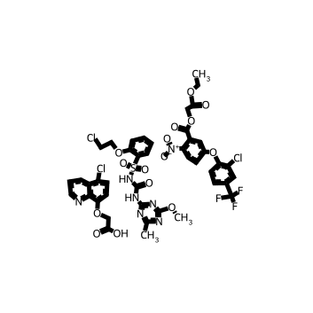 CCOC(=O)COC(=O)c1cc(Oc2ccc(C(F)(F)F)cc2Cl)ccc1[N+](=O)[O-].COc1nc(C)nc(NC(=O)NS(=O)(=O)c2ccccc2OCCCl)n1.O=C(O)COc1ccc(Cl)c2cccnc12